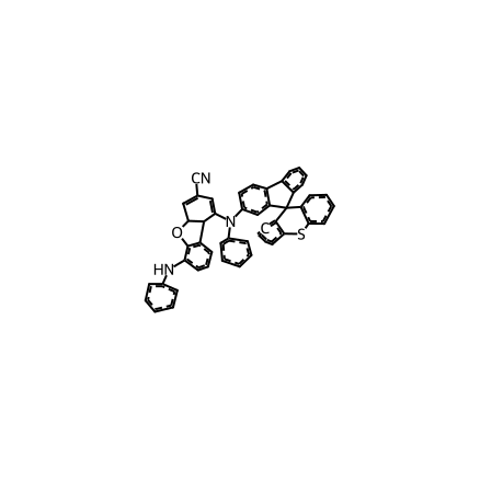 N#CC1=CC2Oc3c(Nc4ccccc4)cccc3C2C(N(c2ccccc2)c2ccc3c(c2)C2(c4ccccc4Sc4ccccc42)c2ccccc2-3)=C1